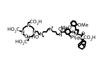 COc1cccc(OC)c1-c1cc(C(=O)NC2(C(=O)O)C3CC4CC5C3C5C2C4)nn1-c1ccc(C(O)N(C)CCCN(C)CCCN(C)C(O)CN2CCN(CC(=O)O)CCN(CC(=O)O)CCN(CC(=O)O)CC2)cc1C(C)C